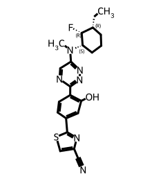 CC[C@@H]1CCC[C@H](N(C)c2cnc(-c3ccc(-c4nc(C#N)cs4)cc3O)nn2)[C@@H]1F